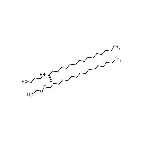 CCCCCCCCCCCCCCCC(=O)NCCCO.CCCCCCCCCCCCCCCCOOCC